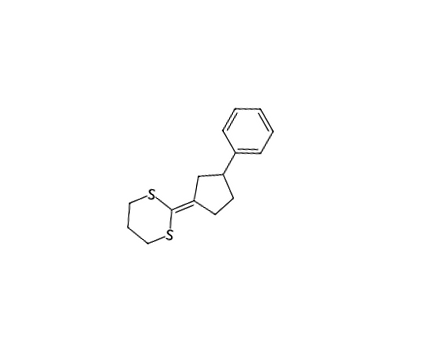 c1ccc(C2CCC(=C3SCCCS3)C2)cc1